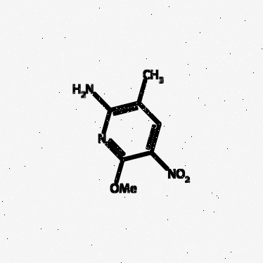 COc1nc(N)c(C)cc1[N+](=O)[O-]